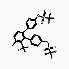 Cc1ccc(-c2ccc(OS(=O)(=O)C(F)(F)F)cc2)c(-c2ccc(OS(=O)(=O)C(F)(F)F)cc2)c1C(F)(F)F